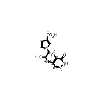 CC(Cn1ccc(C(=O)O)c1)Nc1cn[nH]c(=O)c1C(F)(F)F